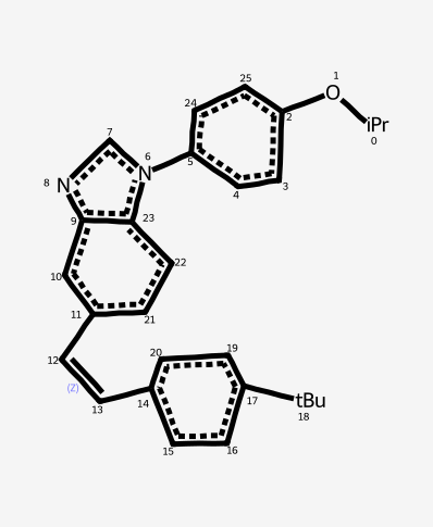 CC(C)Oc1ccc(-n2cnc3cc(/C=C\c4ccc(C(C)(C)C)cc4)ccc32)cc1